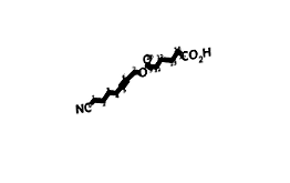 N#CCCCCC#CCOC(=O)CCCCC(=O)O